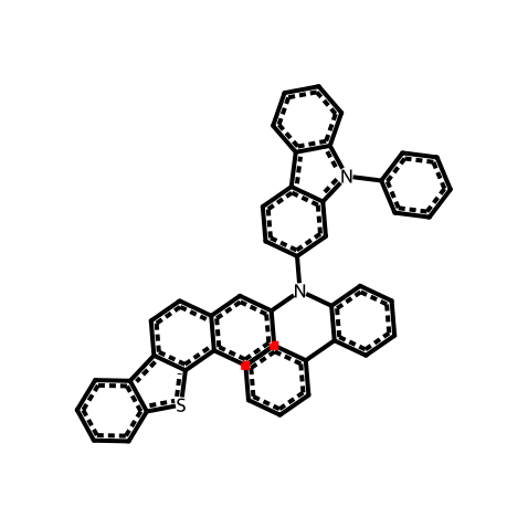 c1ccc(-c2ccccc2N(c2ccc3c(ccc4c5ccccc5sc34)c2)c2ccc3c4ccccc4n(-c4ccccc4)c3c2)cc1